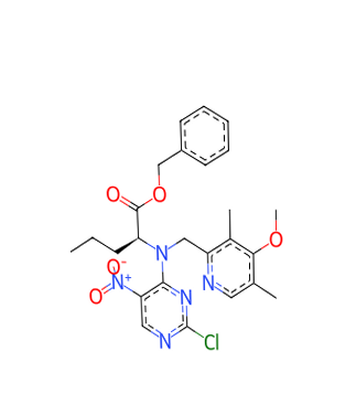 CCC[C@@H](C(=O)OCc1ccccc1)N(Cc1ncc(C)c(OC)c1C)c1nc(Cl)ncc1[N+](=O)[O-]